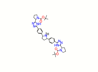 [2H]N1C(c2ccc(-c3nnc(C4CCCN4C(=O)OC(C)(C)C)[nH]3)cc2)CCC1c1ccc(-c2nnc(C3CCCN3C(=O)OC(C)(C)C)[nH]2)cc1